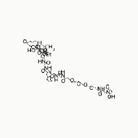 CCC(=O)O[C@]1(C(=O)COCNC(=O)CNC(=O)[C@H](Cc2ccccc2)NC(=O)CNC(=O)CNC(=O)CCOCCOCCOCCOCCNC(=O)CCN2C(=O)C=CC2O)[C@@H](C)CC2[C@@H]3CCC4=CC(=O)C=C[C@]4(C)[C@@]3(Cl)[C@@H](O)C[C@@]21C